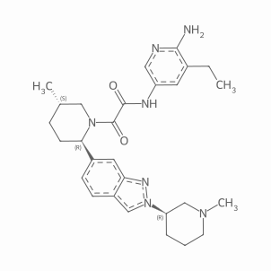 CCc1cc(NC(=O)C(=O)N2C[C@@H](C)CC[C@@H]2c2ccc3cn([C@@H]4CCCN(C)C4)nc3c2)cnc1N